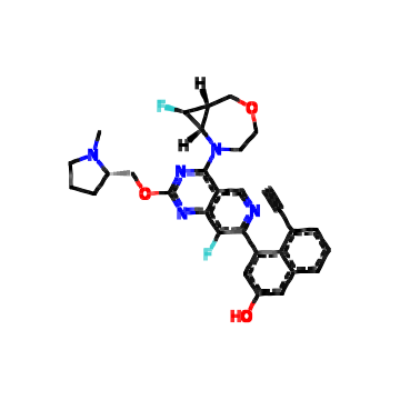 C#Cc1cccc2cc(O)cc(-c3ncc4c(N5CCOC[C@H]6[C@H](F)[C@H]65)nc(OC[C@@H]5CCCN5C)nc4c3F)c12